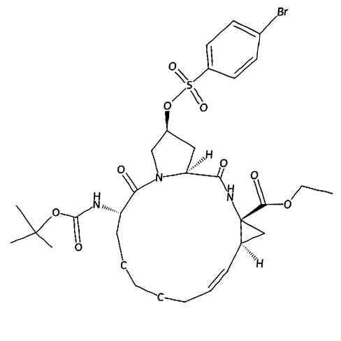 CCOC(=O)[C@@]12C[C@H]1/C=C\CCCCC[C@H](NC(=O)OC(C)(C)C)C(=O)N1C[C@@H](OS(=O)(=O)c3ccc(Br)cc3)C[C@H]1C(=O)N2